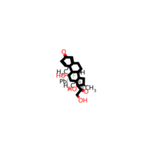 C[C@@H]1CC2[C@H]3CCC4=CC(=O)C=C[C@]4(C)[C@@]3(F)[C@@H](O)C[C@]2(C)[C@@]1(O)C(=O)CO.[Pb]